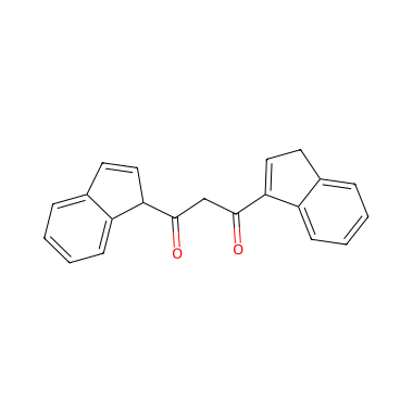 O=C(CC(=O)C1C=Cc2ccccc21)C1=CCc2ccccc21